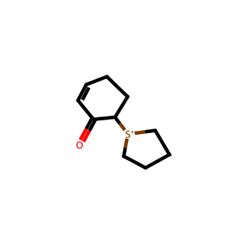 O=C1C=CCCC1[S+]1CCCC1